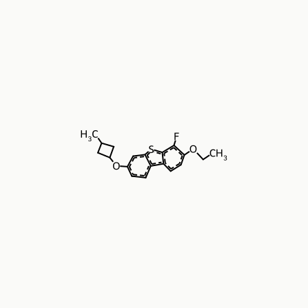 CCOc1ccc2c(sc3cc(OC4CC(C)C4)ccc32)c1F